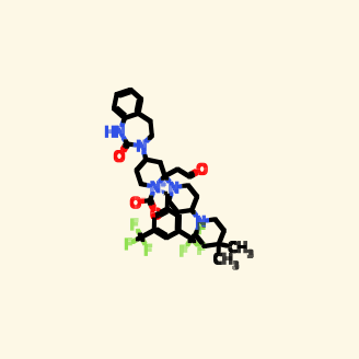 CC1(C)CCN(C2CCN(C3(CC=O)CC(N4CCc5ccccc5NC4=O)CC[N@+]3(Cc3cc(C(F)(F)F)cc(C(F)(F)F)c3)C(=O)[O-])CC2)CC1